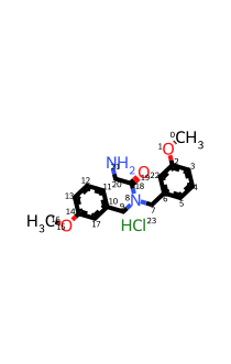 COc1cccc(CN(Cc2cccc(OC)c2)C(=O)CN)c1.Cl